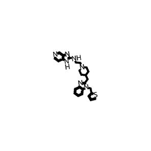 c1csc(Cn2c(CC3CCN(CCNc4nc5cnccc5[nH]4)CC3)nc3ccccc32)c1